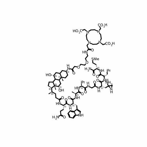 CSCC[C@H](NC(=O)[C@H](CC(C)C)NC(=O)[C@H](CC1(N)CN1)NC(=O)CNC(=O)[C@@H](NC(=O)[C@H](C)NC(=O)[C@H](Cc1c[nH]c2ccccc12)NC(=O)[C@H](CCC(N)=O)NC(=O)CC[C@@H](C)[C@H]1CCC2C3C(C[C@H](O)[C@@]21C)[C@@]1(C)CC[C@H](NC(=O)COCCOCCNC(=O)CN2CCN(CC(=O)O)CCN(CC(=O)O)CCN(CC(=O)O)CC2)CC1C[C@H]3O)C(C)C)C(N)=O